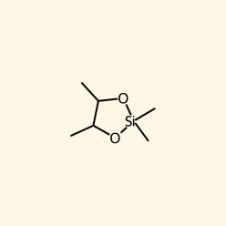 CC1O[Si](C)(C)OC1C